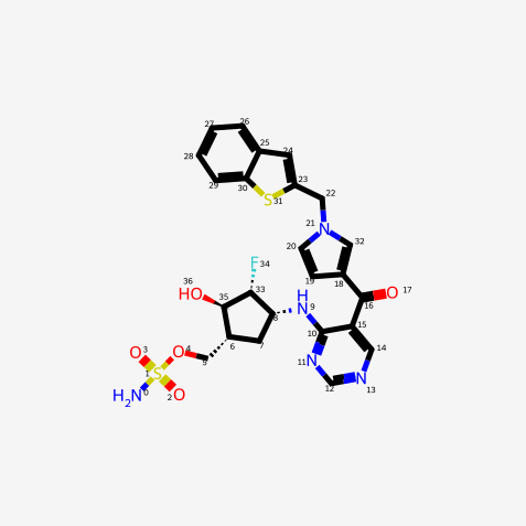 NS(=O)(=O)OC[C@H]1C[C@@H](Nc2ncncc2C(=O)c2ccn(Cc3cc4ccccc4s3)c2)[C@@H](F)[C@@H]1O